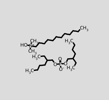 CCCCC(CC)COP(=O)([O-])OCC(CC)CCCC.CCCCCCCCCCCC[N+](C)(C)O